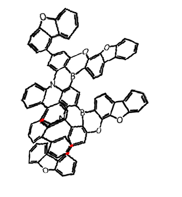 c1ccc(-c2ccccc2N2c3cc4c(cc3B3c5ccc6c(oc7ccccc76)c5Oc5cc(-c6cccc7oc8ccccc8c67)cc2c53)B2c3ccc5c(oc6ccccc65)c3Oc3cc(-c5cccc6oc7ccccc7c56)cc(c32)N4c2ccccc2-c2ccccc2)cc1